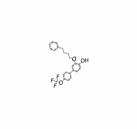 Oc1ccc(-c2ccc(OC(F)(F)F)cc2)cc1OCCCCc1ccccc1